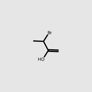 C=C(O)C(C)Br